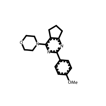 COc1ccc(-c2nc3c(c(N4CCOCC4)n2)CCC3)cc1